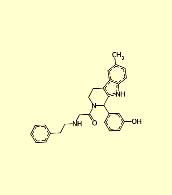 Cc1ccc2[nH]c3c(c2c1)CCN(C(=O)CNCCc1ccccc1)C3c1cccc(O)c1